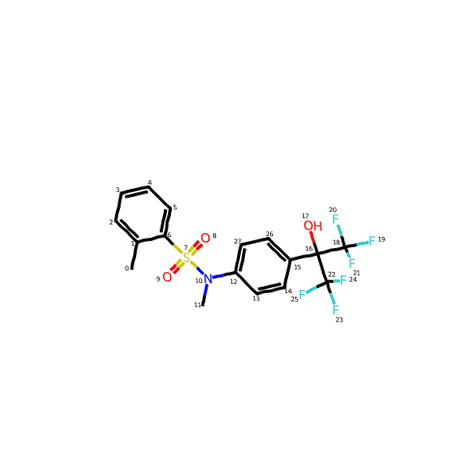 Cc1ccccc1S(=O)(=O)N(C)c1ccc(C(O)(C(F)(F)F)C(F)(F)F)cc1